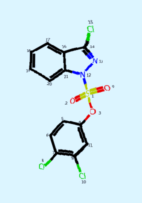 O=S(=O)(Oc1ccc(Cl)c(Cl)c1)n1nc(Cl)c2c[c]ccc21